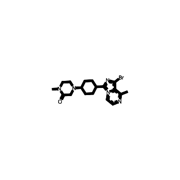 Cc1nccn2c(C3CCC(N4CCN(C)C(=O)C4)CC3)nc(Br)c12